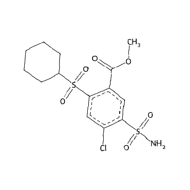 COC(=O)c1cc(S(N)(=O)=O)c(Cl)cc1S(=O)(=O)C1CCCCC1